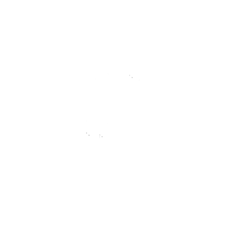 Cn1cc(-c2cc(N)c(F)c(F)c2)cn1